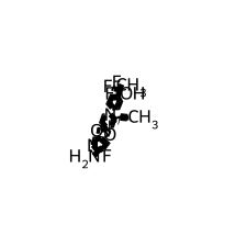 CC#C[C@H]1CN(S(=O)(=O)c2cnc(N)c(F)c2)CCN1c1ccc(C(C)(O)C(F)(F)F)cc1